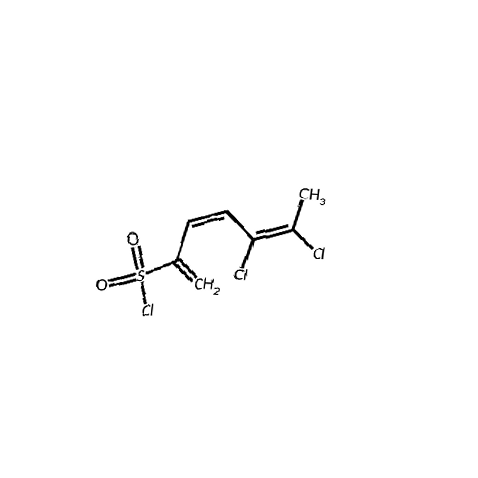 C=C(/C=C\C(Cl)=C(/C)Cl)S(=O)(=O)Cl